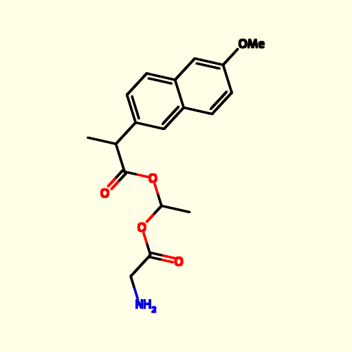 COc1ccc2cc(C(C)C(=O)OC(C)OC(=O)CN)ccc2c1